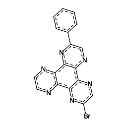 Brc1cnc2c3ncc(-c4ccccc4)nc3c3nccnc3c2n1